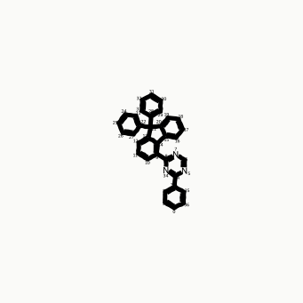 c1ccc(-c2ncnc(-c3cccc4c3-c3ccccc3C4(c3ccccc3)c3ccccc3)n2)cc1